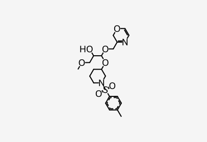 COCC(O)C(OCC1=NC=COC1)OC1CCCN(S(=O)(=O)c2ccc(C)cc2)C1